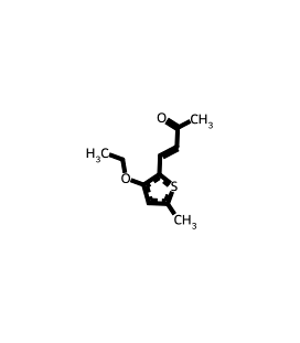 CCOc1cc(C)sc1/C=C/C(C)=O